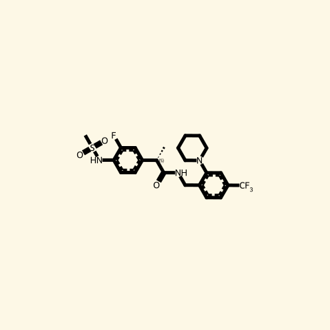 C[C@H](C(=O)NCc1ccc(C(F)(F)F)cc1N1CCCCC1)c1ccc(NS(C)(=O)=O)c(F)c1